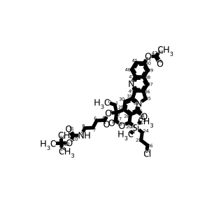 CCC1(OC(=O)CCCNC(=O)OC(C)(C)C)C(=O)OC([Si](C)(C)CCCCl)c2c1cc1n(c2=O)Cc2cc3cc(OC(C)=O)ccc3nc2-1